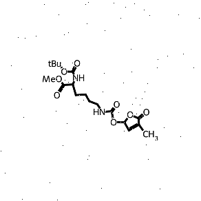 COC(=O)C(CCCCNC(=O)OC1C=C(C)C(=O)O1)NC(=O)OC(C)(C)C